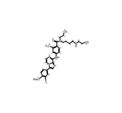 COc1ccc(-c2cnc3c(Nc4ccc(C(=O)N(CCC#N)CCCCNCCC#N)c(C)c4)nccn23)cc1F